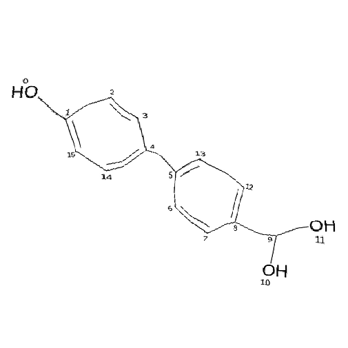 Oc1ccc(-c2ccc(C(O)O)cc2)cc1